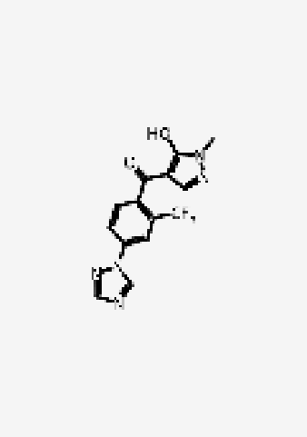 Cn1ncc(C(=O)c2ccc(-n3cncn3)cc2C(F)(F)F)c1O